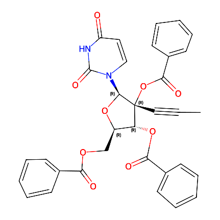 CC#C[C@@]1(OC(=O)c2ccccc2)[C@H](OC(=O)c2ccccc2)[C@@H](COC(=O)c2ccccc2)O[C@H]1n1ccc(=O)[nH]c1=O